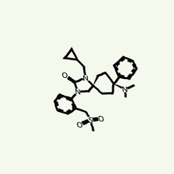 CN(C)[C@]1(c2ccccc2)CC[C@@]2(CC1)CN(c1ccccc1CS(C)(=O)=O)C(=O)N2CC1CC1